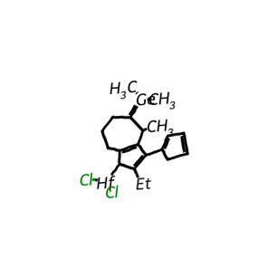 CCC1=C(C2=CC=CC2)C2=C(CCC[C](=[Ge]([CH3])[CH3])C2C)[CH]1[Hf]([Cl])[Cl]